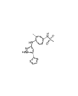 Cc1cc(NS(C)(=O)=O)ccc1Nc1cc(-c2nccs2)[nH]n1